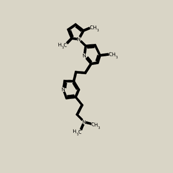 Cc1cc(CCc2cncc(CCN(C)C)c2)nc(-n2c(C)ccc2C)c1